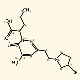 CCCC(C(=O)O)n1nc(CCN2CCC(F)C2)cc(C)c1=O